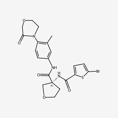 Cc1cc(NC(=O)[C@@]2(NC(=O)c3ccc(Br)s3)CCOC2)ccc1N1CCOCC1=O